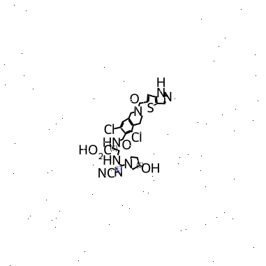 N#C/N=C(\NC[C@H](NC(=O)c1c(Cl)cc2c(c1Cl)CCN(C(=O)c1cc3[nH]ncc3s1)C2)C(=O)O)N1CC[C@H](O)C1